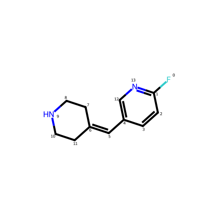 Fc1ccc(C=C2CCNCC2)cn1